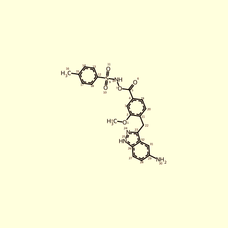 COc1cc(C(=O)ONS(=O)(=O)c2ccc(C)cc2)ccc1Cc1n[nH]c2ccc(N)cc12